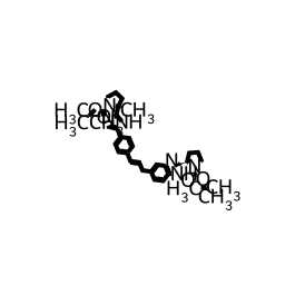 CC(C)(C)OC(=O)N1CCC[C@H]1c1nc2cc(C/C=C/c3ccc(-c4cnc([C@@]5(C)CCCN5C(=O)OC(C)(C)C)[nH]4)cc3)ccc2[nH]1